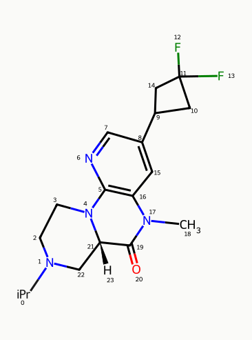 CC(C)N1CCN2c3ncc(C4CC(F)(F)C4)cc3N(C)C(=O)[C@@H]2C1